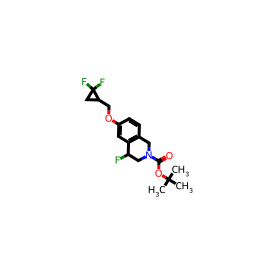 CC(C)(C)OC(=O)N1Cc2ccc(OCC3CC3(F)F)cc2C(F)C1